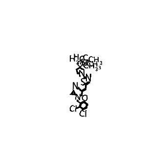 CC(C)(C)[Si](C)(C)OC1CCN(c2ncc(C=C(C#N)C(=O)N(Cc3cccc(Cl)c3Cl)C3CC3)s2)C1